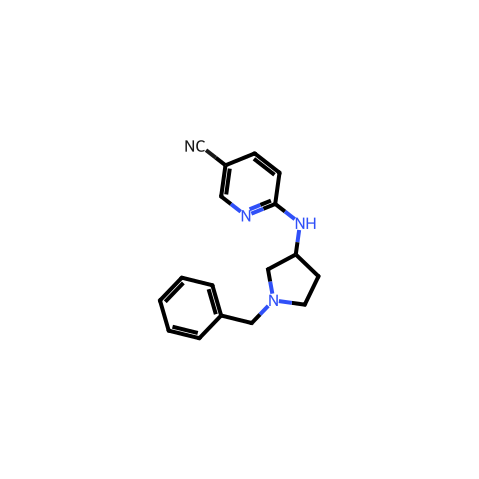 N#Cc1ccc(NC2CCN(Cc3ccccc3)C2)nc1